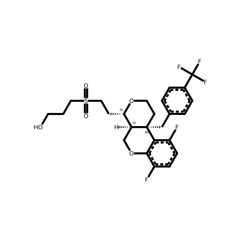 O=S(=O)(CCCO)CC[C@@H]1OCC[C@@]2(Cc3ccc(C(F)(F)F)cc3)c3c(F)ccc(F)c3OC[C@@H]12